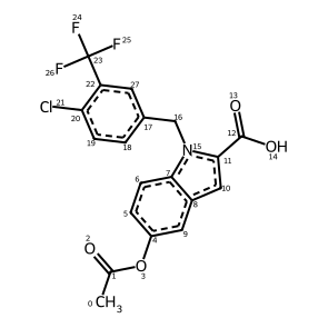 CC(=O)Oc1ccc2c(c1)cc(C(=O)O)n2Cc1ccc(Cl)c(C(F)(F)F)c1